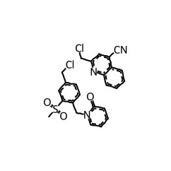 CS(=O)(=O)c1cc(CCl)ccc1Cn1ccccc1=O.N#Cc1cc(CCl)nc2ccccc12